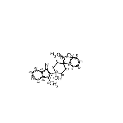 Cc1c(C2(O)CCC(c3ccccc3)(N(C)C)CC2)[nH]c2ccncc12